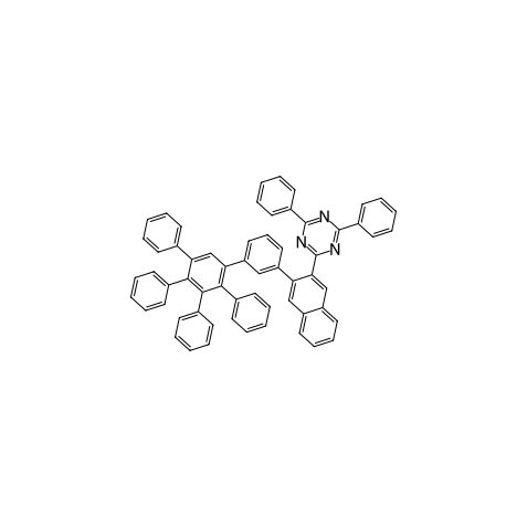 c1ccc(-c2nc(-c3ccccc3)nc(-c3cc4ccccc4cc3-c3cccc(-c4cc(-c5ccccc5)c(-c5ccccc5)c(-c5ccccc5)c4-c4ccccc4)c3)n2)cc1